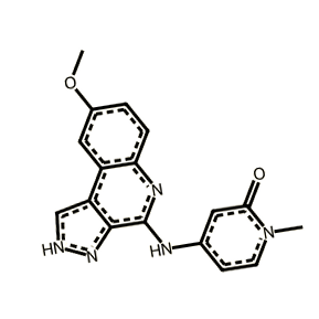 COc1ccc2nc(Nc3ccn(C)c(=O)c3)c3n[nH]cc3c2c1